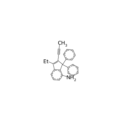 CC#CC1=C(CC)c2cccc(N)c2C1(c1ccccc1)c1ccccc1